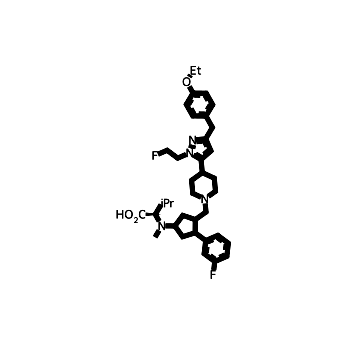 CCOc1ccc(Cc2cc(C3CCN(CC4CC(N(C)[C@@H](C(=O)O)C(C)C)CC4c4cccc(F)c4)CC3)n(CCF)n2)cc1